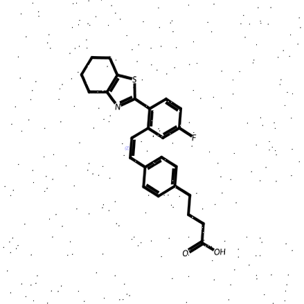 O=C(O)CCCc1ccc(/C=C\c2cc(F)ccc2-c2nc3c(s2)CCCC3)cc1